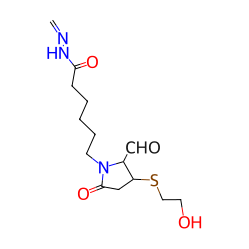 C=NNC(=O)CCCCCN1C(=O)CC(SCCO)C1C=O